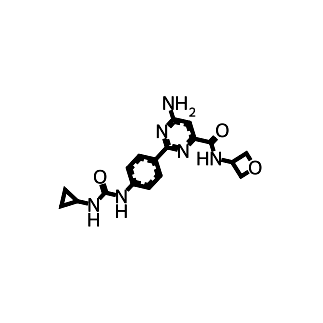 Nc1cc(C(=O)NC2COC2)nc(-c2ccc(NC(=O)NC3CC3)cc2)n1